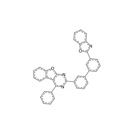 c1ccc(-c2nc(-c3cccc(-c4cccc(-c5nc6ccccc6o5)c4)c3)nc3oc4ccccc4c23)cc1